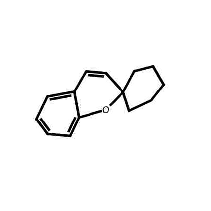 C1=CC2(CCCCC2)Oc2ccccc21